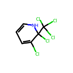 ClC1=CC=CNC1(Cl)C(Cl)(Cl)Cl